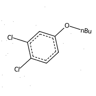 [CH2]CCCOc1ccc(Cl)c(Cl)c1